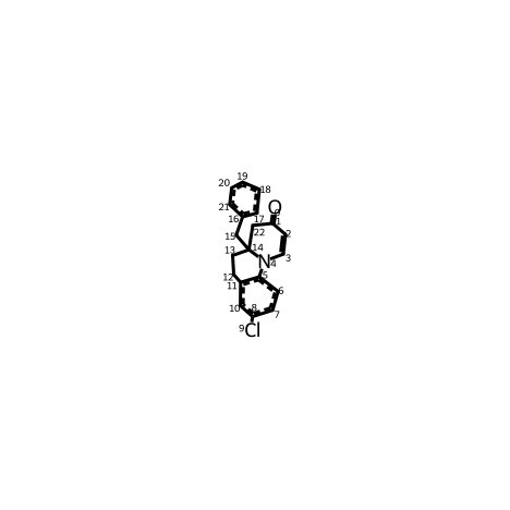 O=C1C=CN2c3ccc(Cl)cc3CCC2(Cc2ccccc2)C1